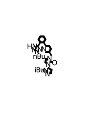 CCCCc1cn(-c2ccnn2C(C)CC)c(=O)n1Cc1ccc(-c2ccccc2-c2nnn[nH]2)nc1